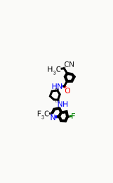 CC(C#N)c1cccc(C(=O)N[C@@H]2CCC[C@H](Nc3cc(C(F)(F)F)nc4ccc(F)cc34)C2)c1